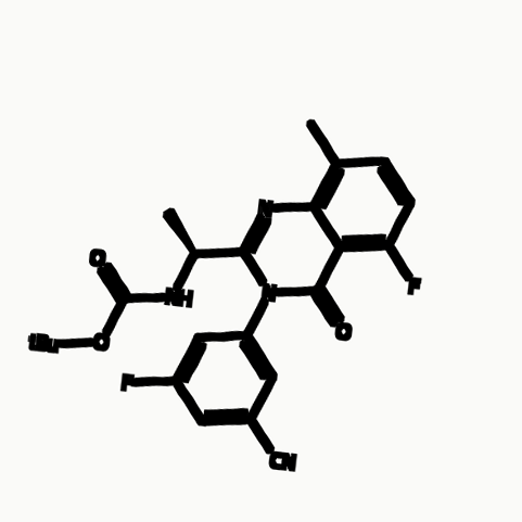 Cc1ccc(F)c2c(=O)n(-c3cc(F)cc(C#N)c3)c([C@H](C)NC(=O)OC(C)(C)C)nc12